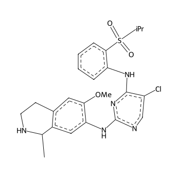 COc1cc2c(cc1Nc1ncc(Cl)c(Nc3ccccc3S(=O)(=O)C(C)C)n1)C(C)NCC2